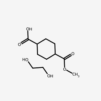 COC(=O)C1CCC(C(=O)O)CC1.OCCO